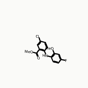 COC(=O)c1cc(Cl)ccc1Nc1ccc(F)cc1OC